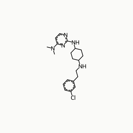 CN(C)c1ccnc(NC2CCC(NCCc3cccc(Cl)c3)CC2)n1